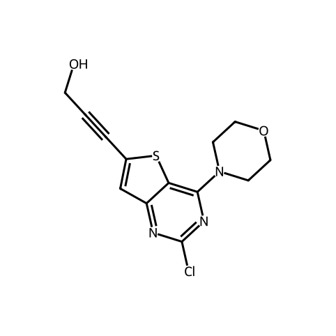 OCC#Cc1cc2nc(Cl)nc(N3CCOCC3)c2s1